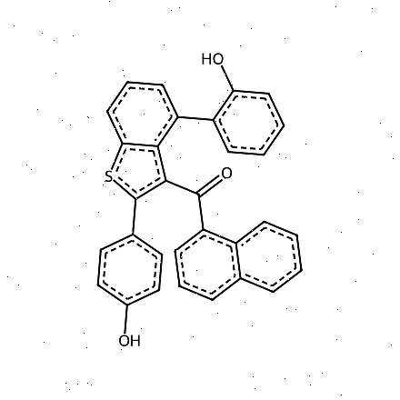 O=C(c1cccc2ccccc12)c1c(-c2ccc(O)cc2)sc2cccc(-c3ccccc3O)c12